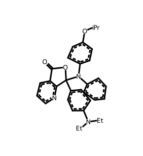 CCN(CC)c1ccc(C2(N(c3ccccc3)c3ccc(OC(C)C)cc3)OC(=O)c3cccnc32)cc1